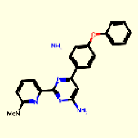 CNc1cccc(-c2nc(N)cc(-c3ccc(Oc4ccccc4)cc3)n2)n1.N